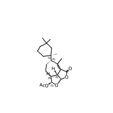 CC(=O)O[C@@H]1OC2OC(=O)C3=C(C)[C@@H]([C@@]4(C)CCCC(C)(C)C4)CC[C@@H]1[C@H]32